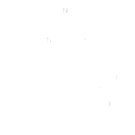 NC(=O)N1CCCCC1Oc1ccccc1C(F)(F)F